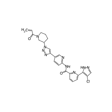 C=CC(=O)N1CCCC(n2cc(-c3ccc(NC(=O)c4cccc(-c5[nH]ncc5Cl)n4)nc3)nn2)C1